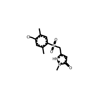 Cc1cc(S(=O)(=O)Cc2cc(=O)n(C)[nH]2)c(C)cc1Cl